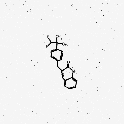 CC(O)(c1ccc(Cc2cc3ccccc3[nH]c2=O)cc1)C(F)F